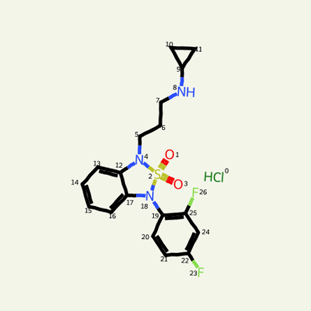 Cl.O=S1(=O)N(CCCNC2CC2)c2ccccc2N1c1ccc(F)cc1F